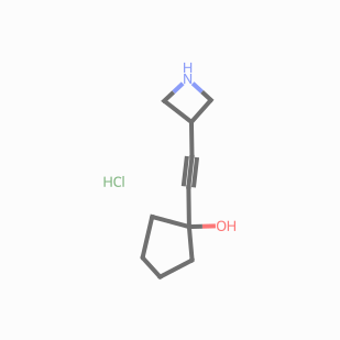 Cl.OC1(C#CC2CNC2)CCCC1